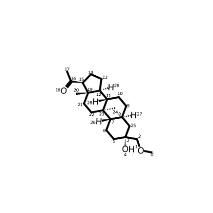 COC[C@@]1(O)CC[C@H]2[C@@H](CC[C@H]3[C@@H]4CC[C@H](C(C)=O)[C@@]4(C)CC[C@]23C)C1